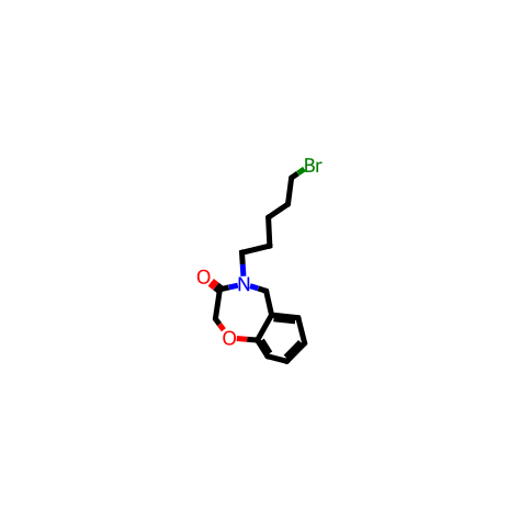 O=C1COc2ccccc2CN1CCCCCBr